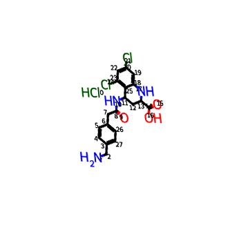 Cl.NCc1ccc(CC(=O)NC2CC(C(=O)O)Nc3cc(Cl)cc(Cl)c32)cc1